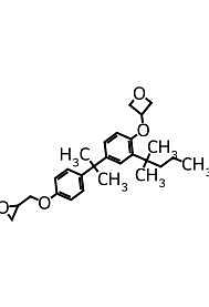 CCCC(C)(C)c1cc(C(C)(C)c2ccc(OCC3CO3)cc2)ccc1OC1COC1